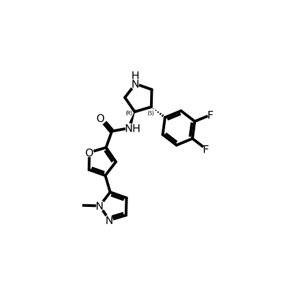 Cn1nccc1-c1coc(C(=O)N[C@H]2CNC[C@@H]2c2ccc(F)c(F)c2)c1